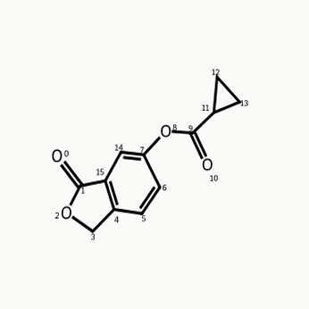 O=C1OCc2ccc(OC(=O)C3CC3)cc21